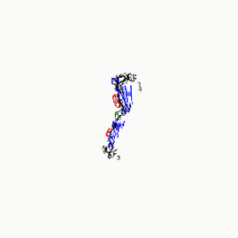 O=C(NCc1ccc(C(F)(F)F)cn1)C1=CN(CCC(F)Cn2cc(C(=O)NCc3cc(C(F)(F)F)ccn3)nn2)NN1